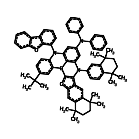 CC(C)(C)c1ccc2c(c1)B1c3oc4cc5c(cc4c3N(c3ccc4c(c3)C(C)(C)CCC4(C)C)c3cc(N(c4ccccc4)c4ccccc4)cc(c31)N2c1cccc2c1oc1ccccc12)C(C)(C)CCC5(C)C